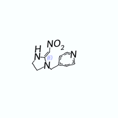 O=[N+]([O-])/C=C1\NCCN1Cc1ccncc1